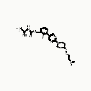 CN(C)CCON=C1CCN(c2ncc(-c3cccc(COC(=O)NC(=N)N)c3F)cn2)CC1